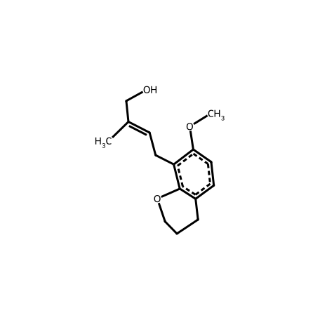 COc1ccc2c(c1C/C=C(\C)CO)OCCC2